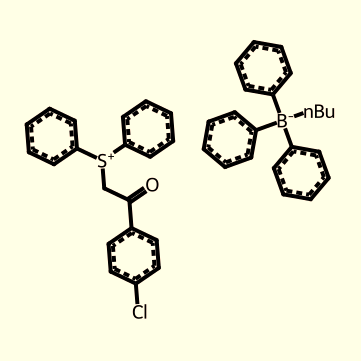 CCCC[B-](c1ccccc1)(c1ccccc1)c1ccccc1.O=C(C[S+](c1ccccc1)c1ccccc1)c1ccc(Cl)cc1